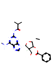 CC[C@H]1O[C@@H](n2cnc3c(NC)nc(NC(=O)C(C)C)nc32)[C@@](F)(CO)C1OC(=O)c1ccccc1